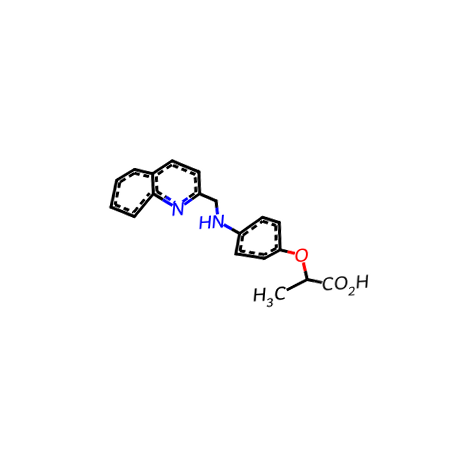 CC(Oc1ccc(NCc2ccc3ccccc3n2)cc1)C(=O)O